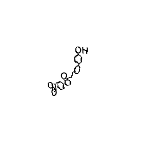 O=C(CCOc1ccc(O)cc1)Oc1ccc([N+](=O)[O-])cc1